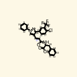 O=C(/C=C/c1cn(-c2ccccc2)nc1-c1ccc(Cl)c(C(F)(F)F)c1)NC(Cc1ccccc1)C(=O)O